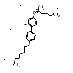 CCCCCCCc1ccc(-c2ccc(O[C@@H](C)CCCC)cc2F)nc1